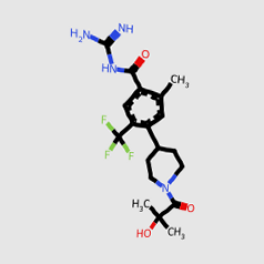 Cc1cc(C2CCN(C(=O)C(C)(C)O)CC2)c(C(F)(F)F)cc1C(=O)NC(=N)N